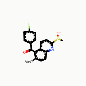 COc1ccc2nc([S+](C)[O-])ccc2c1C(=O)c1ccc(F)cc1